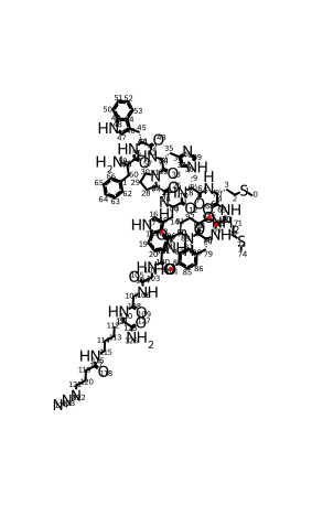 CSCC[C@@H](NC(=O)[C@@H](C)NC(=O)[C@@H](Cc1c[nH]c2ccccc12)NC(=O)[C@H]1CCCN1C(=O)[C@@H](Cc1c[nH]cn1)NC(=O)[C@@H](Cc1c[nH]c2ccccc12)NC(=O)[C@H](N)Cc1ccccc1)C(=O)N[C@H](CCSC)C(=O)N[C@H](Cc1ccc(O)cc1)C(=O)N[C@H](CCCCN)C(=O)NCC(=O)NCC(=O)NCC(=O)N[C@@H](CCCCNC(=O)CCCN=[N+]=[N-])C(N)=O